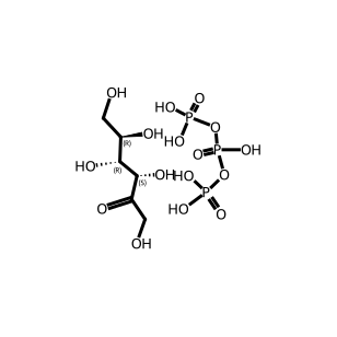 O=C(CO)[C@@H](O)[C@H](O)[C@H](O)CO.O=P(O)(O)OP(=O)(O)OP(=O)(O)O